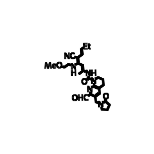 CC/C=C/C(C#N)=C(\C=C(/C)NC(=O)N1CCCc2cc(CN3CCCC3=O)c(C=O)nc21)NCCOC